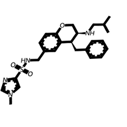 CC(C)CN[C@@H]1COc2ccc(CNS(=O)(=O)c3cn(C)cn3)cc2[C@@H]1Cc1ccccc1